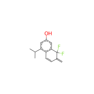 C=C1C=Cc2c(C(C)C)cc(O)cc2C1(F)F